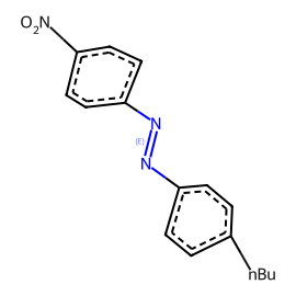 CCCCc1ccc(/N=N/c2ccc([N+](=O)[O-])cc2)cc1